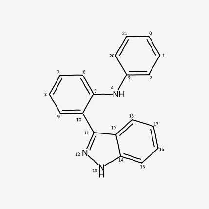 c1ccc(Nc2ccccc2-c2n[nH]c3ccccc23)cc1